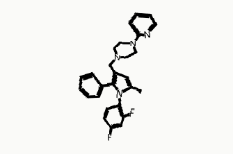 Cc1cc(CN2CCN(c3ccccn3)CC2)c(-c2ccccc2)n1-c1ccc(F)cc1F